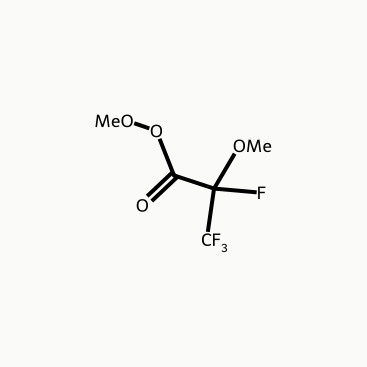 COOC(=O)C(F)(OC)C(F)(F)F